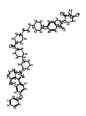 Nc1ncnc2c1c(-c1ccc(Oc3ccccc3)cc1)nn2C1CCCN(C2CCN(C(=O)N3CCN(CCCC4CCN(c5ccc6c(c5)CN(C5CCC(=O)NC5=O)C6=O)CC4)CC3)CC2)C1